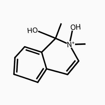 CC1(O)c2ccccc2C=C[N+]1(C)O